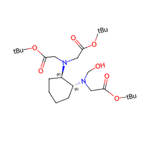 CC(C)(C)OC(=O)CN(CO)[C@@H]1CCCC[C@H]1N(CC(=O)OC(C)(C)C)CC(=O)OC(C)(C)C